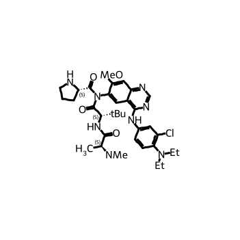 CCN(CC)c1ccc(Nc2ncnc3cc(OC)c(N(C(=O)[C@@H]4CCCN4)C(=O)[C@@H](NC(=O)[C@H](C)NC)C(C)(C)C)cc23)cc1Cl